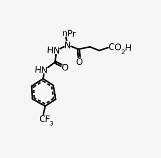 CCCN(NC(=O)Nc1ccc(C(F)(F)F)cc1)C(=O)CCC(=O)O